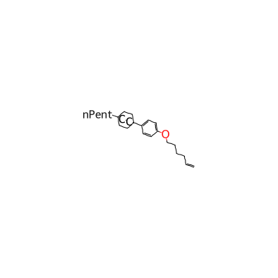 C=CCCCCOc1ccc(C23CCC(CCCCC)(CC2)CC3)cc1